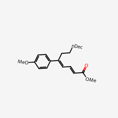 CCCCCCCCCCCC/C(=C\C=C\C(=O)OC)c1ccc(OC)cc1